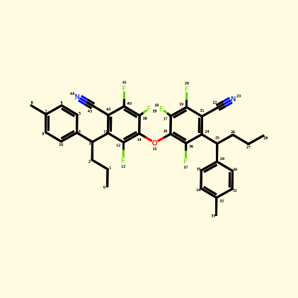 CCCC(c1ccc(C)cc1)c1c(F)c(Oc2c(F)c(F)c(C#N)c(C(CCC)c3ccc(C)cc3)c2F)c(F)c(F)c1C#N